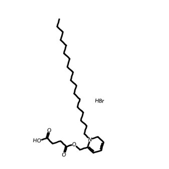 Br.CCCCCCCCCCCCCCCCCCN1CC=CC=C1COC(=O)CCC(=O)O